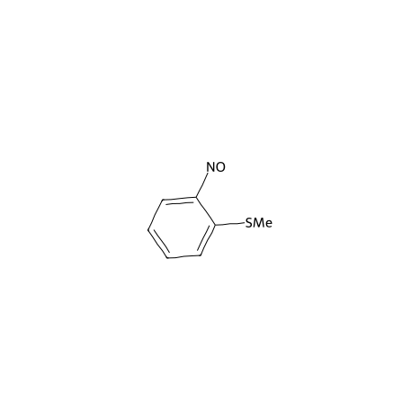 CSc1ccccc1N=O